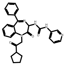 O=C(Nc1cccnc1)NC1N=C(c2ccccc2)c2ccccc2N(CC(=O)C2CCCC2)C1=O